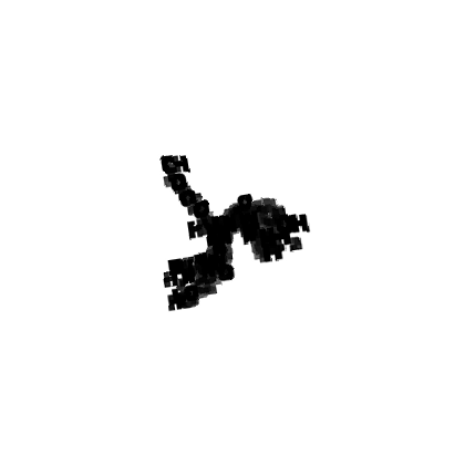 C#CCOCCOCCOCCNc1nc(N2CCN(C(=O)C(Cc3ccc(O)cc3)n3cc(C(N)CC(C)C)nn3)CC2)nc(N2CCN(C(=O)C(Cc3ccc(O)cc3)n3cc(C(N)C(C)CC)nn3)CC2)n1.Cl